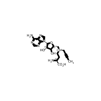 CC#CC[S@@+](CC[C@H](N)C(=O)O)C[C@H]1O[C@@H](n2cnc3c(N)ncnc32)[C@@H](O)C1O